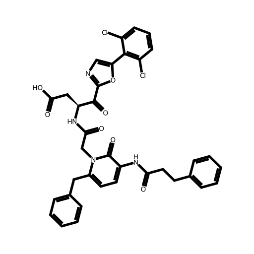 O=C(O)C[C@H](NC(=O)Cn1c(Cc2ccccc2)ccc(NC(=O)CCc2ccccc2)c1=O)C(=O)c1ncc(-c2c(Cl)cccc2Cl)o1